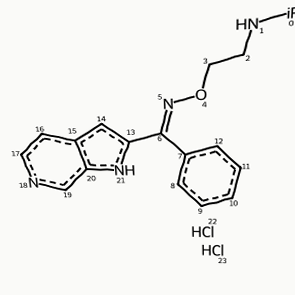 CC(C)NCCON=C(c1ccccc1)c1cc2ccncc2[nH]1.Cl.Cl